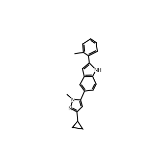 Cc1ccccc1-c1cc2cc(-c3cc(C4CC4)nn3C)ccc2[nH]1